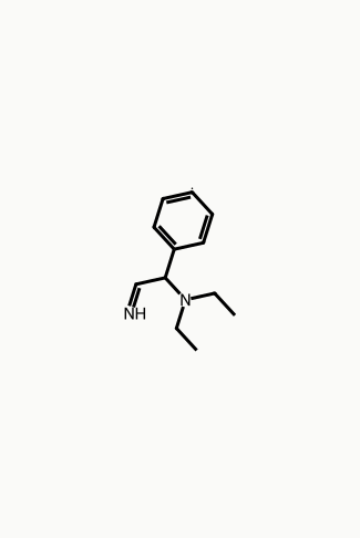 CCN(CC)C(C=N)c1cc[c]cc1